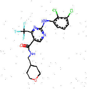 O=C(NCC1CCOCC1)c1cnc(Nc2cccc(Cl)c2Cl)nc1C(F)(F)F